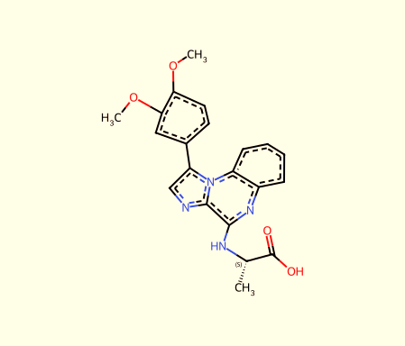 COc1ccc(-c2cnc3c(N[C@@H](C)C(=O)O)nc4ccccc4n23)cc1OC